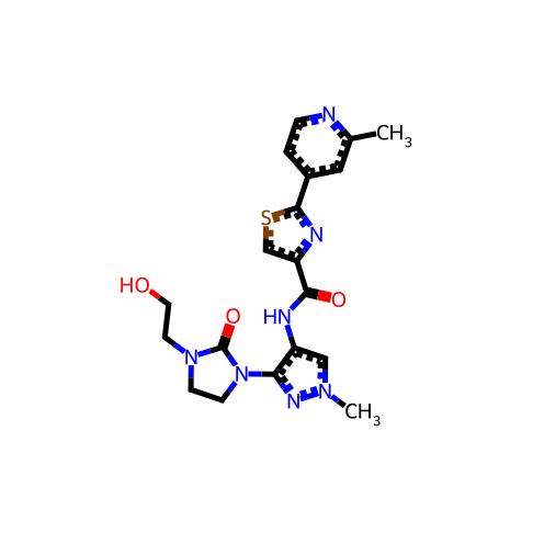 Cc1cc(-c2nc(C(=O)Nc3cn(C)nc3N3CCN(CCO)C3=O)cs2)ccn1